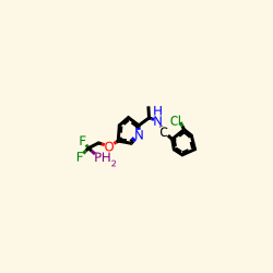 CC(NCc1ccccc1Cl)c1ccc(OCC(F)(F)P)cn1